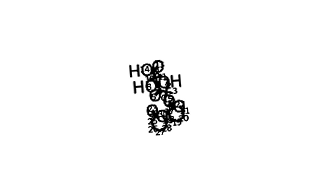 CC(C)(C)C(=O)C(O)(O)C(C)(C)C(=O)O.O=C1CCCCCO1.O=C1CCCCCO1